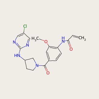 C=CC(=O)Nc1ccc(C(=O)N2CCC(Nc3ncc(Cl)cn3)C2)cc1OC